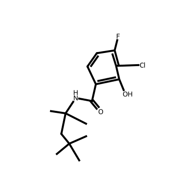 CC(C)(C)CC(C)(C)NC(=O)c1ccc(F)c(Cl)c1O